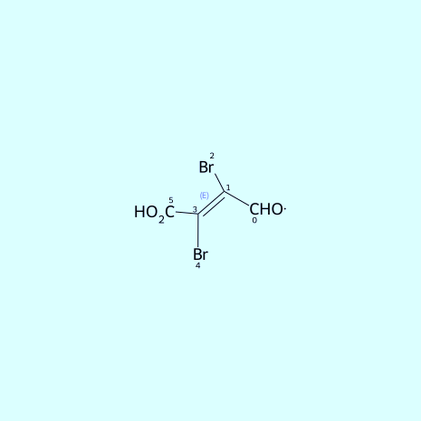 O=[C]/C(Br)=C(\Br)C(=O)O